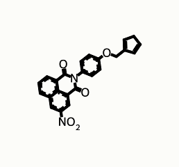 O=C1c2cccc3cc([N+](=O)[O-])cc(c23)C(=O)N1c1ccc(OCC2=CCC=C2)cc1